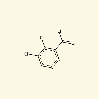 O=C(Cl)c1nncc(Cl)c1Cl